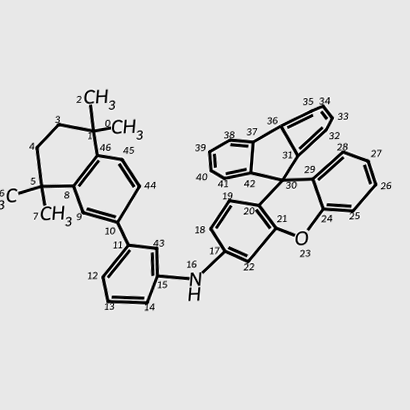 CC1(C)CCC(C)(C)c2cc(-c3cccc(Nc4ccc5c(c4)Oc4ccccc4C54c5ccccc5-c5ccccc54)c3)ccc21